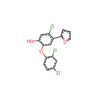 Oc1cc(Cl)c(-c2ccco2)cc1Oc1ccc(Cl)cc1Cl